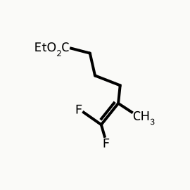 CCOC(=O)CCCC(C)=C(F)F